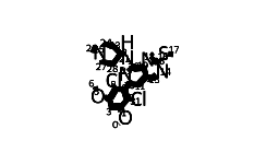 COc1cc(OC)c(Cl)c(-c2cc3cnc(SC)nc3c(NC3CCN(C)CC3)n2)c1Cl